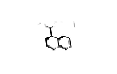 CCC(C)C(C(=O)O)c1cccc2ccccc12